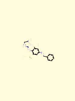 Cc1cc(NCc2ccccc2)cc(C)c1N=C1NCCN1